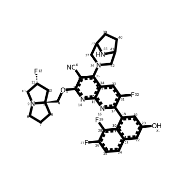 N#Cc1c(OC[C@@]23CCCN2C[C@H](F)C3)nc2nc(-c3cc(O)cc4ccc(F)c(F)c34)c(F)cc2c1N1CC2CCC(C1)N2